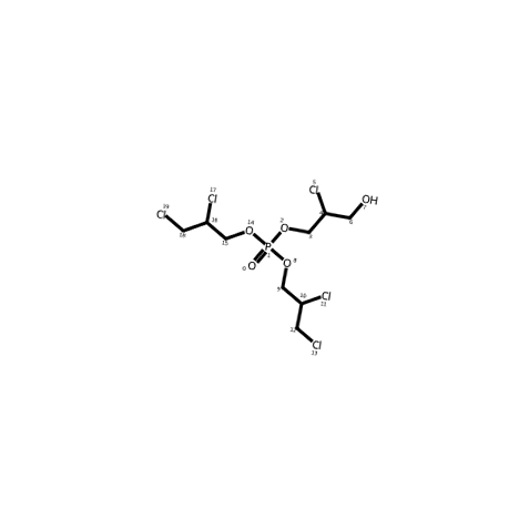 O=P(OCC(Cl)CO)(OCC(Cl)CCl)OCC(Cl)CCl